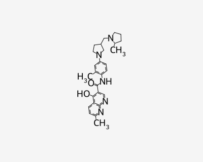 Cc1ccc2c(O)c(C(=O)Nc3ccc(N4CCC(CN5CCCC5C)C4)cc3C)cnc2n1